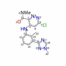 CNC(=O)c1nnc(Cl)cc1Nc1cccc(-c2ncn(C)n2)c1C